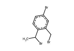 CC(Br)c1ccc(Br)cc1CBr